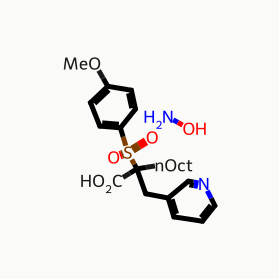 CCCCCCCCC(Cc1cccnc1)(C(=O)O)S(=O)(=O)c1ccc(OC)cc1.NO